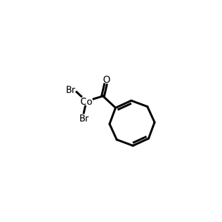 O=[C](C1=CCCC=CCC1)[Co]([Br])[Br]